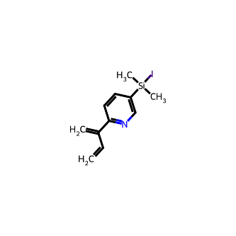 C=CC(=C)c1ccc([Si](C)(C)I)cn1